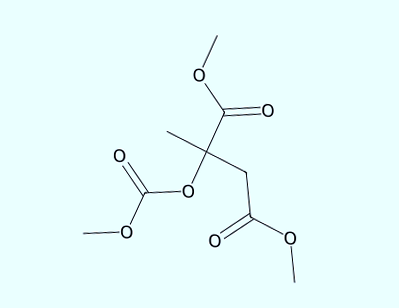 COC(=O)CC(C)(OC(=O)OC)C(=O)OC